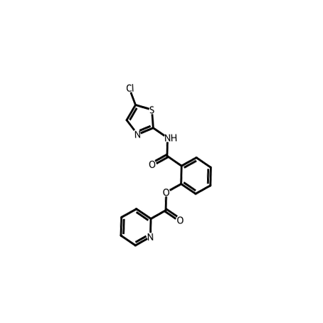 O=C(Oc1ccccc1C(=O)Nc1ncc(Cl)s1)c1ccccn1